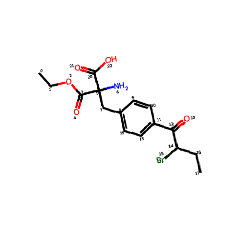 CCOC(=O)C(N)(Cc1ccc(C(=O)C(Br)CC)cc1)C(=O)O